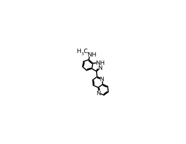 CNc1cccc2c(-c3ccc4ncccc4n3)n[nH]c12